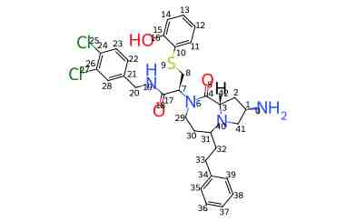 N[C@@H]1C[C@H]2C(=O)N([C@H](CSc3ccccc3O)C(=O)NCc3ccc(Cl)c(Cl)c3)CCC(CCc3ccccc3)N2C1